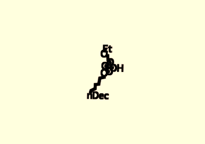 CCCCCCCCCCCCCCCCOOP(=O)(O)OCCOCC